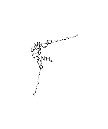 CCCCCCCCCCCCCCOc1ccc(Sc2cccc3c2C(=O)c2c(Sc4ccc(OCCCCCCCCCCCCCC)cc4N)cccc2C3=O)c(N)c1